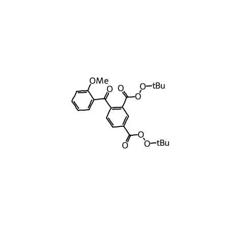 COc1ccccc1C(=O)c1ccc(C(=O)OOC(C)(C)C)cc1C(=O)OOC(C)(C)C